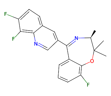 C[C@@H]1N=C(c2cnc3c(F)c(F)ccc3c2)c2cccc(F)c2OC1(C)C